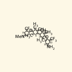 CNc1ccc(Oc2c(C)cc(-c3cc(C)c(Oc4ccc(N)cc4C(F)(F)F)c(C)c3C)c(C)c2C)c(C(F)(F)F)c1